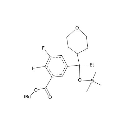 CCC(O[Si](C)(C)C)(c1cc(F)c(I)c(C(=O)OC(C)(C)C)c1)C1CCOCC1